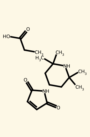 CC1(C)CCCC(C)(C)N1.CCC(=O)O.O=C1C=CC(=O)N1